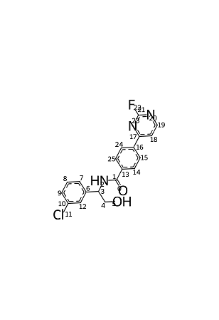 O=C(NC(CO)c1cccc(Cl)c1)c1ccc(-c2ccnc(F)n2)cc1